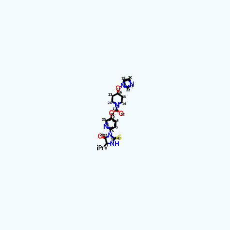 CC(C)C1NC(=S)N(c2ccc(OC(=O)N3CCC(On4ccnc4)CC3)cn2)C1=O